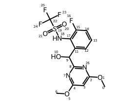 COc1cc(OC)nc(C(O)c2cccc(F)c2NS(=O)(=O)C(F)(F)F)n1